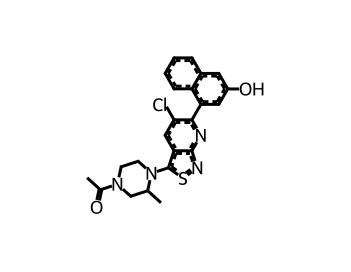 CC(=O)N1CCN(c2snc3nc(-c4cc(O)cc5ccccc45)c(Cl)cc23)C(C)C1